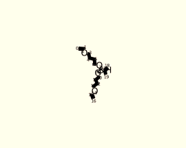 C=COCCCCO[SiH](OCCCCOC=C)C(=C)C